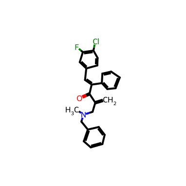 C=C(CN(C)Cc1ccccc1)C(=O)/C(=C/c1ccc(Cl)c(F)c1)c1ccccc1